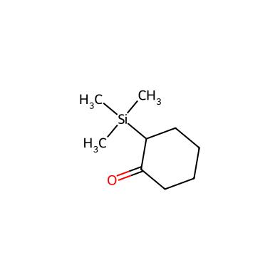 C[Si](C)(C)C1CCCCC1=O